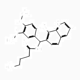 CCCCC(=O)NC(c1ccc(OC)c(OC)c1)c1ccc2cccnc2c1O